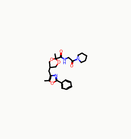 Cc1oc(-c2ccccc2)nc1CC1COC(C)(C(=O)NCC(=O)N2CCCCC2)OC1